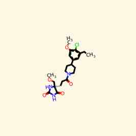 CCc1cc(C2CCN(C(=O)CC[C@@]3(COC)NC(=O)NC3=O)CC2)cc(OC)c1Cl